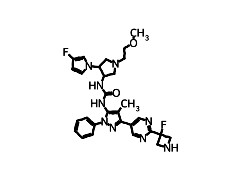 COCCN1CC(NC(=O)Nc2c(C)c(-c3cnc(C4(F)CNC4)nc3)nn2-c2ccccc2)C(n2ccc(F)c2)C1